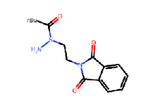 CCCCC(=O)N(N)CCN1C(=O)c2ccccc2C1=O